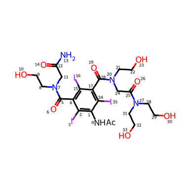 CC(=O)Nc1c(I)c(C(=O)N(CCO)CC(N)=O)c(I)c(C(=O)N(CCO)CC(=O)N(CCO)CCO)c1I